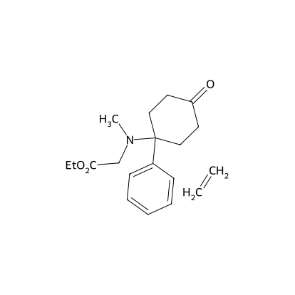 C=C.CCOC(=O)CN(C)C1(c2ccccc2)CCC(=O)CC1